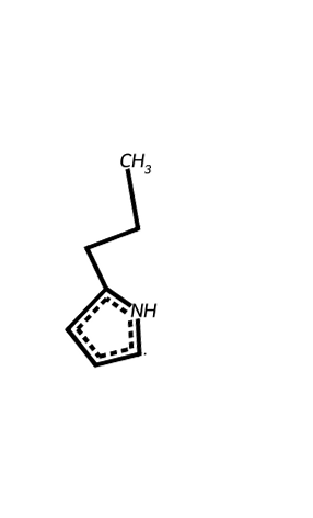 CCCc1cc[c][nH]1